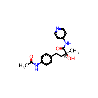 CC(=O)Nc1ccc(CC[C@](C)(O)C(=O)Nc2ccncc2)cc1